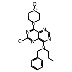 CCCN(Cc1ccccc1)c1ncnc2c(N3CC[S+]([O-])CC3)nc(Cl)nc12